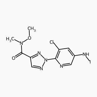 CON(C)C(=O)c1cnn(-c2ncc(NI)cc2Cl)n1